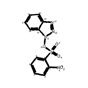 O=[N+]([O-])c1ccccc1S(=O)(=O)On1nnc2ccccc21